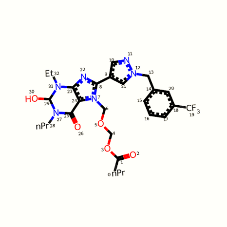 CCCC(=O)OCOCn1c(-c2cnn(Cc3cccc(C(F)(F)F)c3)c2)nc2c1C(=O)N(CCC)C(O)N2CC